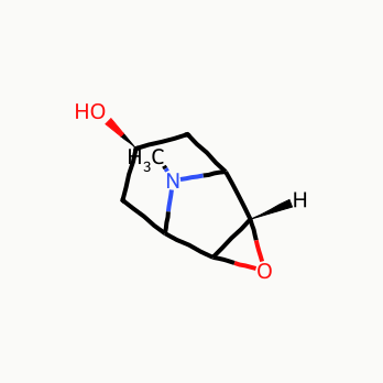 CN1C2C[C@@H](O)CC1[C@@H]1OC21